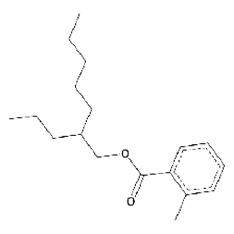 CCCCCC(CCC)COC(=O)c1ccccc1C